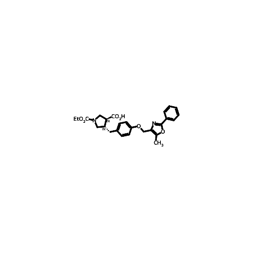 CCOC(=O)N1C[C@@H](Cc2ccc(OCc3nc(-c4ccccc4)oc3C)cc2)[C@H](C(=O)O)C1